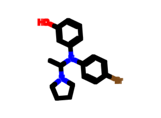 CC(N1CCCC1)N(c1ccc(Br)cc1)c1cccc(O)c1